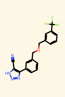 N#Cc1[nH]nnc1-c1cccc(COCc2cccc(C(F)(F)F)c2)c1